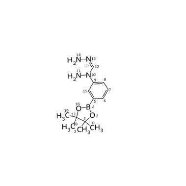 CC1(C)OB(c2cccc(N(N)/C=N\N)c2)OC1(C)C